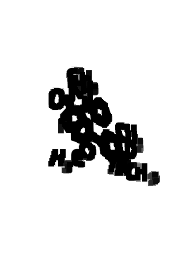 CNC(=O)c1ccc(-c2cc3c(Nc4ccccc4)c(C(=O)NC)cnc3cc2OC)cc1C